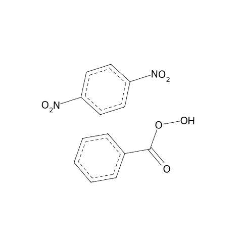 O=C(OO)c1ccccc1.O=[N+]([O-])c1ccc([N+](=O)[O-])cc1